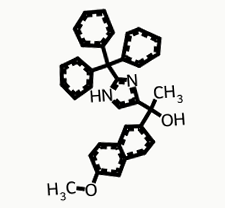 COc1ccc2cc(C(C)(O)c3c[nH]c(C(c4ccccc4)(c4ccccc4)c4ccccc4)n3)ccc2c1